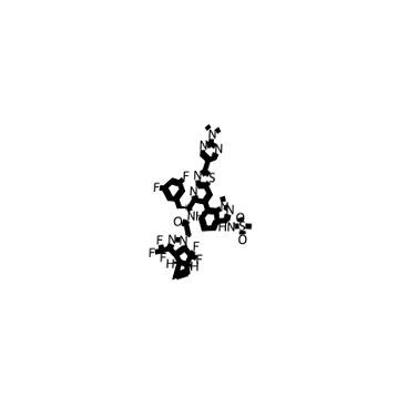 CN(C)c1ncc(-c2nc3nc([C@H](Cc4cc(F)cc(F)c4)NC(=O)Cn4nc(C(F)(F)F)c5c4C(F)(F)[C@@H]4C#C[C@H]54)c(-c4cccc5c(NS(C)(=O)=O)nn(C)c45)cc3s2)cn1